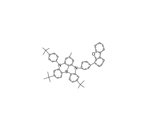 Cc1cc2c3c(c1)N(c1ccc(C(C)(C)C)cc1)c1cc(C(C)(C)C)ccc1B3c1ccc(C(C)(C)C)cc1N2c1ccc(-c2cccc3c2oc2ccccc23)cc1